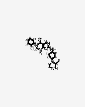 CC1CNCCN1c1ccc(Nc2ncc3c(n2)N(C)CN(c2ccccc2Cl)C3=O)cc1